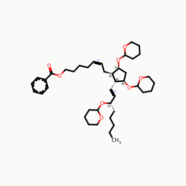 CCCCC[C@@H](/C=C/[C@@H]1[C@@H](C/C=C\CCCCOC(=O)c2ccccc2)[C@@H](OC2CCCCO2)C[C@H]1OC1CCCCO1)OC1CCCCO1